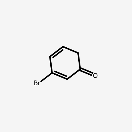 O=C1C=C(Br)C=CC1